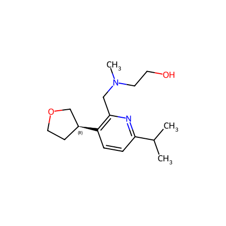 CC(C)c1ccc([C@H]2CCOC2)c(CN(C)CCO)n1